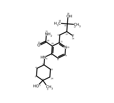 CC1(O)CCC(Nc2ccnc(CC(F)C(C)(C)O)c2C(N)=O)CC1